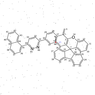 C=C(C1=C(/C=C\C)C2(c3ccccc3O1)c1ccccc1-c1ccccc12)c1ccc(-c2ccc(-c3cccc4ccccc34)nn2)cc1